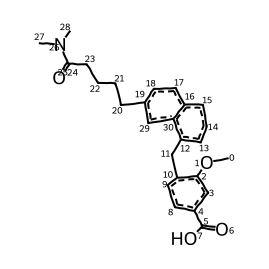 COc1cc(C(=O)O)ccc1Cc1cccc2ccc(CCCCC(=O)N(C)C)cc12